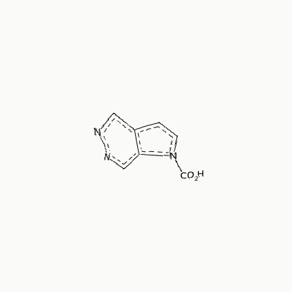 O=C(O)n1ccc2cnncc21